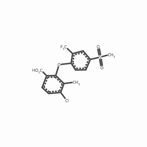 Cc1c(Cl)ccc(C(=O)O)c1Oc1ccc(S(C)(=O)=O)cc1C(F)(F)F